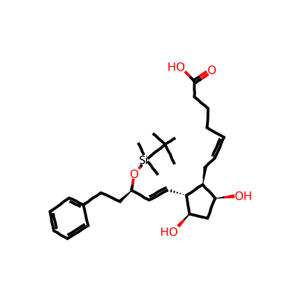 CC(C)(C)[Si](C)(C)O[C@@H](/C=C/[C@@H]1[C@@H](C/C=C\CCCC(=O)O)[C@@H](O)C[C@H]1O)CCc1ccccc1